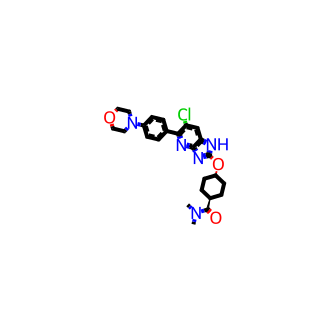 CN(C)C(=O)[C@H]1CC[C@H](Oc2nc3nc(-c4ccc(N5CCOCC5)cc4)c(Cl)cc3[nH]2)CC1